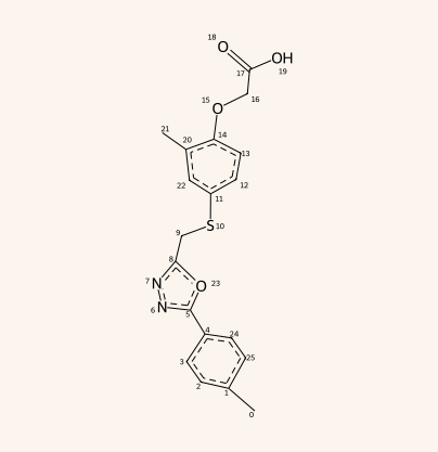 Cc1ccc(-c2nnc(CSc3ccc(OCC(=O)O)c(C)c3)o2)cc1